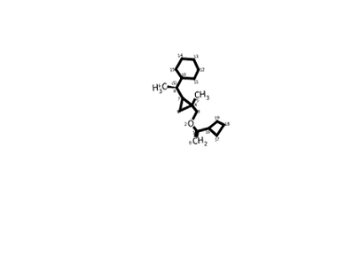 C=C(OCC1(C)CC1[C@@H](C)C1CCCCC1)C1CCC1